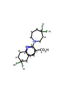 O=C(O)c1cc2c(nc1N1CCCC(F)(F)CC1)CCC(F)(F)C2